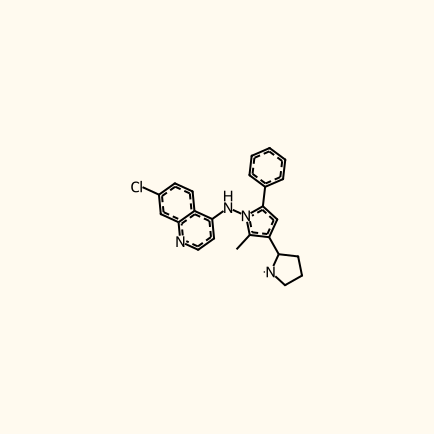 Cc1c(C2CCC[N]2)cc(-c2ccccc2)n1Nc1ccnc2cc(Cl)ccc12